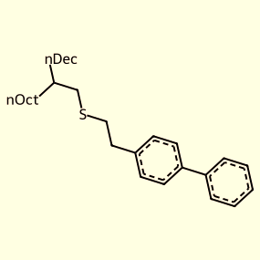 CCCCCCCCCCC(CCCCCCCC)CSCCc1ccc(-c2ccccc2)cc1